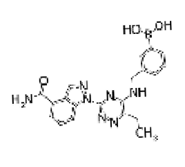 CCc1nnc(-n2ncc3c(C(N)=O)cccc32)nc1NCc1cccc(B(O)O)c1